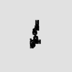 Cc1nccn1-c1[nH]c2ccc(C3CCN(Cc4c[nH]cn4)CC3)cc2c1C(C)C